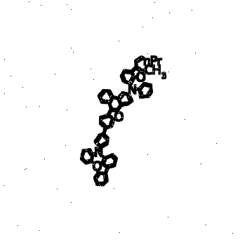 CCC/C=C\c1c(C)oc2c(N(c3ccccc3)c3ccc4c(c3)c3ccccc3c3c5ccc(-c6ccc(N(C7=CCCC=C7)c7cccc8c7oc7ccccc78)cc6)cc5oc43)cccc12